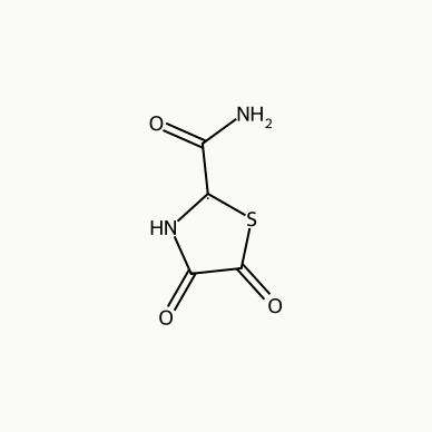 NC(=O)[C]1NC(=O)C(=O)S1